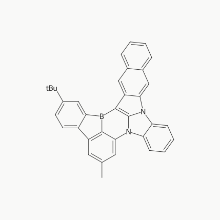 Cc1cc2c3c(c1)-n1c4ccccc4n4c5cc6ccccc6cc5c(c14)B3c1cc(C(C)(C)C)ccc1-2